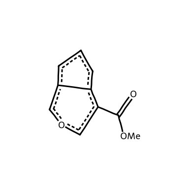 COC(=O)c1cocc2cccc1-2